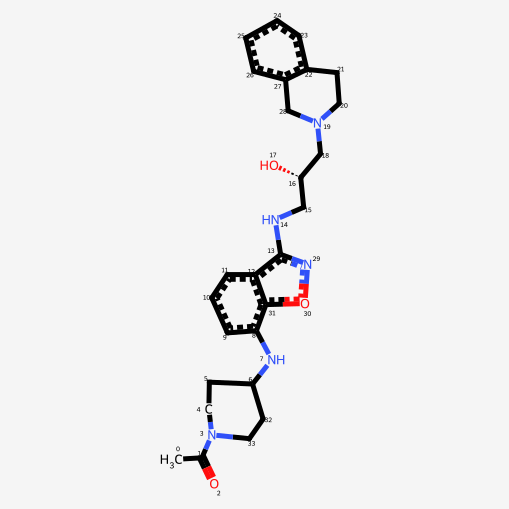 CC(=O)N1CCC(Nc2cccc3c(NC[C@H](O)CN4CCc5ccccc5C4)noc23)CC1